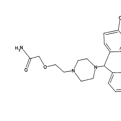 NC(=O)COCCN1CCN(C(c2ccccc2)c2ccc(Cl)cc2)CC1